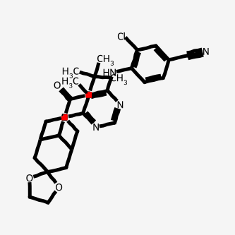 Cc1c(Nc2ccc(C#N)cc2Cl)ncnc1OC1C2CN(C(=O)OC(C)(C)C)CC1CC1(C2)OCCO1